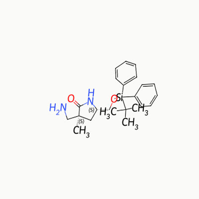 CC(C)(C)[Si](OC[C@@H]1C[C@@](C)(CN)C(=O)N1)(c1ccccc1)c1ccccc1